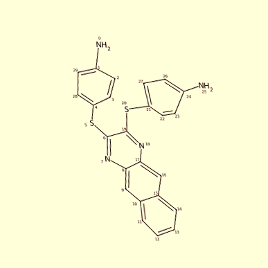 Nc1ccc(Sc2nc3cc4ccccc4cc3nc2Sc2ccc(N)cc2)cc1